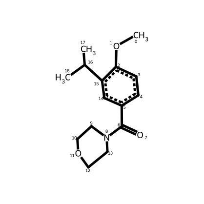 COc1ccc(C(=O)N2CCOCC2)cc1C(C)C